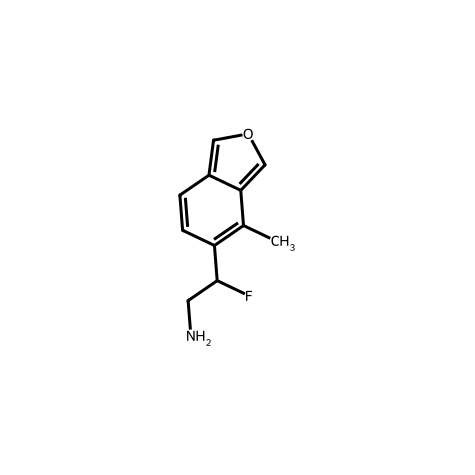 Cc1c(C(F)CN)ccc2cocc12